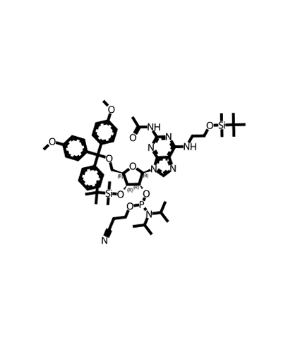 COc1ccc(C(OC[C@H]2O[C@@H](n3cnc4c(NCCO[Si](C)(C)C(C)(C)C)nc(NC(C)=O)nc43)[C@H](OP(OCCC#N)N(C(C)C)C(C)C)[C@@H]2O[Si](C)(C)C(C)(C)C)(c2ccccc2)c2ccc(OC)cc2)cc1